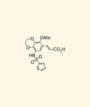 COc1c(/C=C/C(=O)O)cc(NS(=O)(=O)c2cccs2)c2c1OCCO2